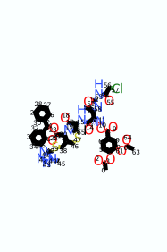 CC(=O)Oc1ccc(C(=O)O/N=C(\C(=O)N[C@@H]2C(=O)N3C(C(=O)OC(c4ccccc4)c4ccccc4)=C(CSc4nnnn4C)CS[C@H]23)c2coc(NC(=O)CCl)n2)cc1OC(C)=O